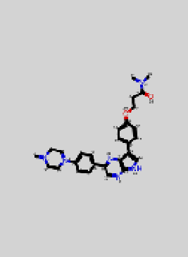 CN1CCN(c2ccc(-c3cnc4[nH]cc(-c5ccc(OCCC(=O)N(C)C)cc5)c4n3)cc2)CC1